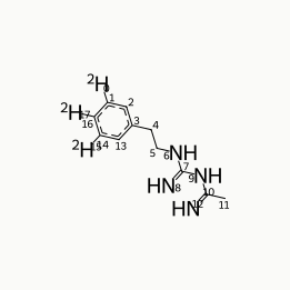 [2H]c1cc(CCNC(=N)NC(C)=N)cc([2H])c1[2H]